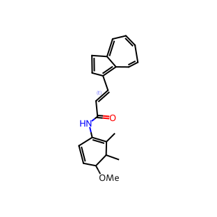 COC1C=CC(NC(=O)/C=C/c2ccc3cccccc2-3)=C(C)C1C